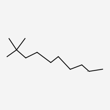 C[CH]CCCCCCC(C)(C)C